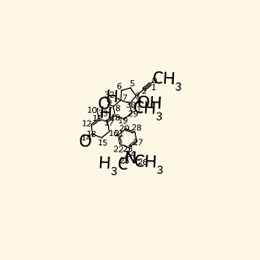 CC#C[C@]1(O)CC[C@H]2[C@@H]3OCC4=CC(=O)CCC4=C3[C@@H](c3ccc(N(C)C)cc3)C[C@@]21C